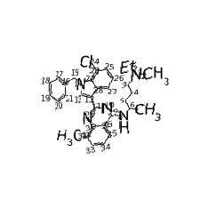 CCN(C)CCCC(C)Nc1nc(-c2cn(Cc3ccccc3)c3c(Cl)cccc23)nc2c(C)cccc12